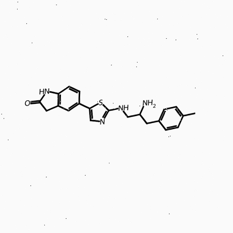 Cc1ccc(CC(N)CNc2ncc(-c3ccc4c(c3)CC(=O)N4)s2)cc1